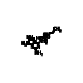 C=CCOP(=O)(O)O.N.N.Nc1nc(N)nc(N)n1